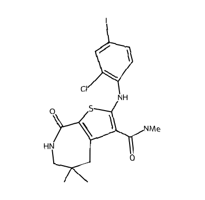 CNC(=O)c1c(Nc2ccc(I)cc2Cl)sc2c1CC(C)(C)CNC2=O